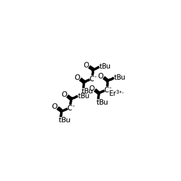 CC(C)(C)C(=O)[CH-]C(=O)C(C)(C)C.CC(C)(C)C(=O)[CH-]C(=O)C(C)(C)C.CC(C)(C)C(=O)[CH-]C(=O)C(C)(C)C.[Er+3]